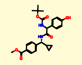 COC(=O)c1ccc([C@H](NC(=O)C(NC(=O)OC(C)(C)C)c2ccc(O)cc2)C2CC2)cc1